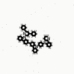 c1ccc(-c2cc(-c3ccccc3)nc(-n3c4ccccc4c4ccc(-c5ccc6c(c5)c5ccccc5n6-c5ccc(-n6c7ccccc7c7ncccc76)cc5)cc43)c2)cc1